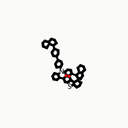 c1ccc(N(c2ccc(-c3ccc(-c4cccc5ccccc45)cc3)cc2)c2ccc(-c3cccc4ccccc34)cc2)c(-c2ccc3c(c2)sc2ccccc23)c1